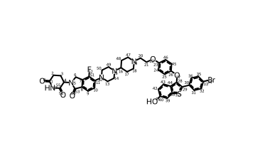 O=C1CCC(N2Cc3c(ccc(N4CCN(C5CCN(CCOc6ccc(Oc7c(-c8ccc(Br)cc8)sc8cc(O)ccc78)cc6)CC5)CC4)c3F)C2=O)C(=O)N1